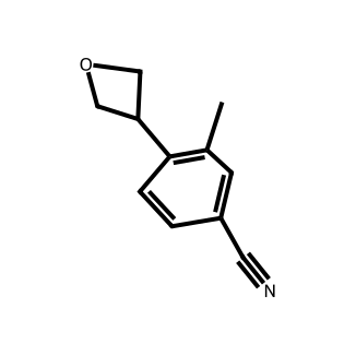 Cc1cc(C#N)ccc1C1COC1